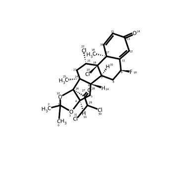 CC1(C)O[C@@H]2C[C@H]3[C@@H]4C[C@H](F)C5=CC(=O)C=C[C@]5(C)[C@@]4(Cl)[C@@H](Cl)C[C@]3(C)[C@]2(C(=O)C(Cl)Cl)O1